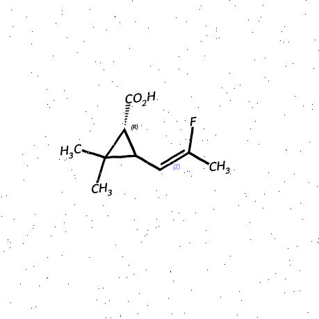 C/C(F)=C/C1[C@@H](C(=O)O)C1(C)C